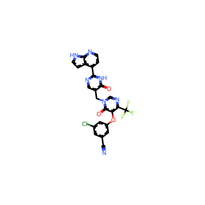 N#Cc1cc(Cl)cc(Oc2c(C(F)(F)F)ncn(Cc3cnc(-c4ccnc5[nH]ccc45)[nH]c3=O)c2=O)c1